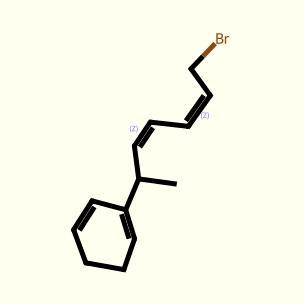 CC(/C=C\C=C/CBr)C1=CCCC=C1